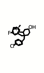 CN(C)CC1CC(O)CCC1(Cc1ccc(Cl)cc1)Cc1cccc(F)c1